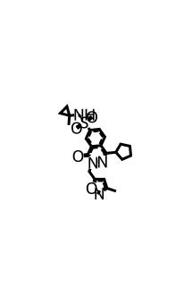 Cc1cc(Cn2nc(C3CCCC3)c3ccc(S(=O)(=O)NC4(C)CC4)cc3c2=O)on1